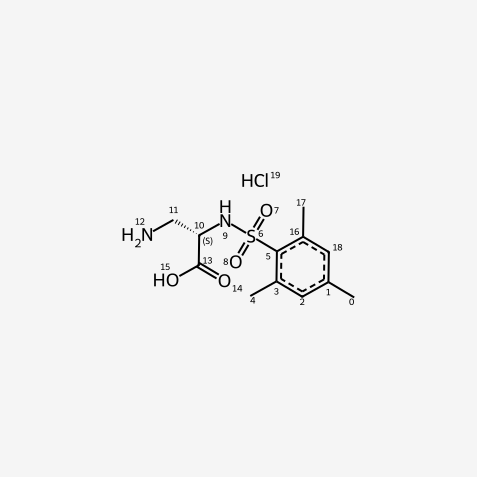 Cc1cc(C)c(S(=O)(=O)N[C@@H](CN)C(=O)O)c(C)c1.Cl